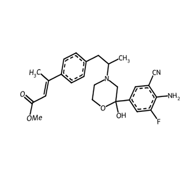 COC(=O)C=C(C)c1ccc(CC(C)N2CCOC(O)(c3cc(F)c(N)c(C#N)c3)C2)cc1